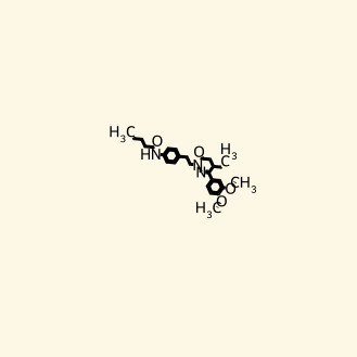 CCCCC(=O)Nc1ccc(CCN2N=C(c3ccc(OC)c(OC)c3)C(CC)CC2=O)cc1